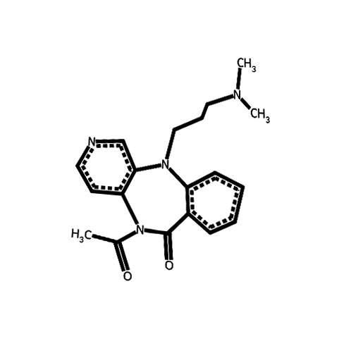 CC(=O)N1C(=O)c2ccccc2N(CCCN(C)C)c2cnccc21